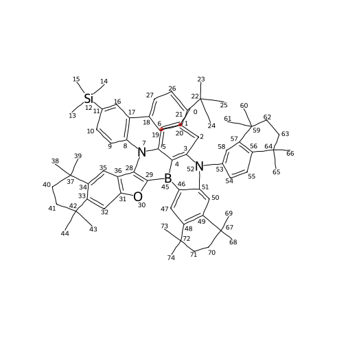 Cc1cc2c3c(c1)N(c1ccc([Si](C)(C)C)cc1-c1ccc(C(C)(C)C)cc1)c1c(oc4cc5c(cc14)C(C)(C)CCC5(C)C)B3c1cc3c(cc1N2c1ccc2c(c1)C(C)(C)CCC2(C)C)C(C)(C)CCC3(C)C